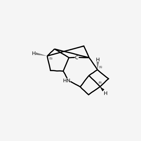 C1C2NC3C[C@@H]4CC5(CC3C45)[C@H]3C[C@H]1C23